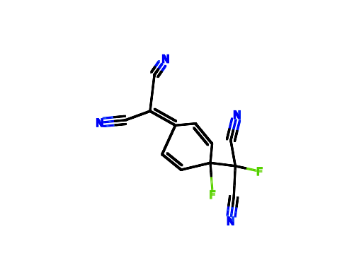 N#CC(C#N)=C1C=CC(F)(C(F)(C#N)C#N)C=C1